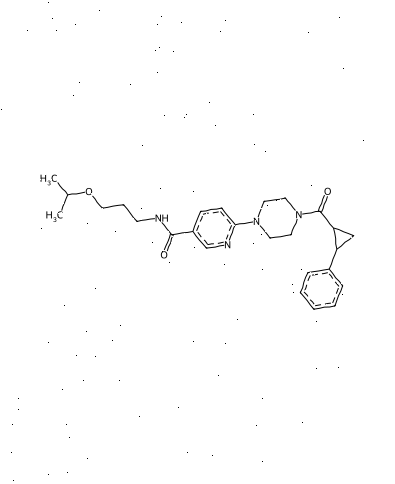 CC(C)OCCCNC(=O)c1ccc(N2CCN(C(=O)C3CC3c3ccccc3)CC2)nc1